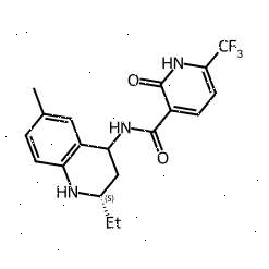 CC[C@H]1CC(NC(=O)c2ccc(C(F)(F)F)[nH]c2=O)c2cc(C)ccc2N1